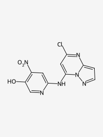 O=[N+]([O-])c1cc(Nc2cc(Cl)nc3ccnn23)ncc1O